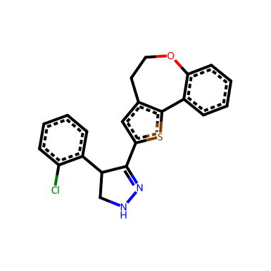 Clc1ccccc1C1CNN=C1c1cc2c(s1)-c1ccccc1OCC2